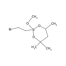 CO[Si]1(CCBr)OC(C)CC(C)(C)O1